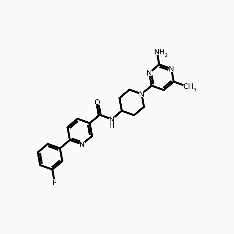 Cc1cc(N2CCC(NC(=O)c3ccc(-c4cccc(F)c4)nc3)CC2)nc(N)n1